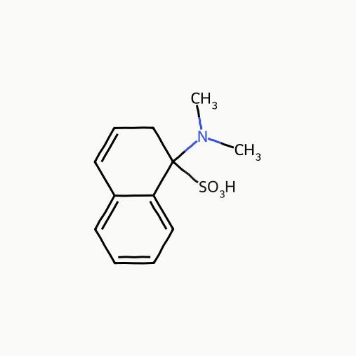 CN(C)C1(S(=O)(=O)O)CC=Cc2ccccc21